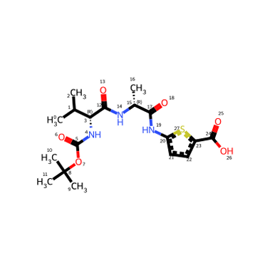 CC(C)[C@@H](NC(=O)OC(C)(C)C)C(=O)N[C@H](C)C(=O)Nc1ccc(C(=O)O)s1